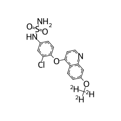 [2H]C([2H])([2H])Oc1ccc2c(Oc3ccc(NS(N)(=O)=O)cc3Cl)ccnc2c1